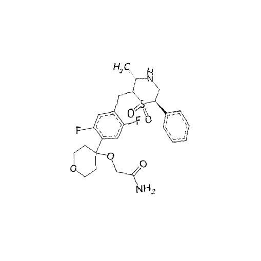 C[C@@H]1NC[C@@H](c2ccccc2)S(=O)(=O)C1Cc1cc(F)c(C2(OCC(N)=O)CCOCC2)cc1F